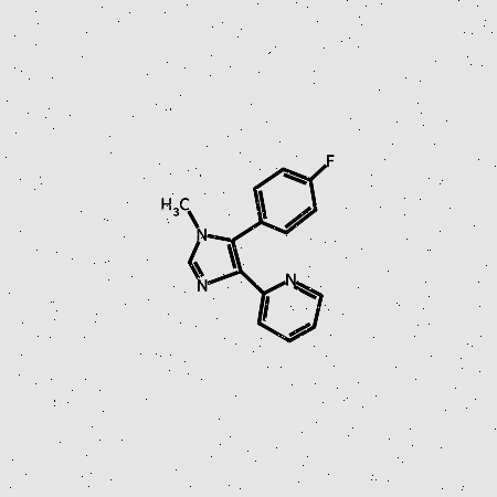 Cn1cnc(-c2ccccn2)c1-c1ccc(F)cc1